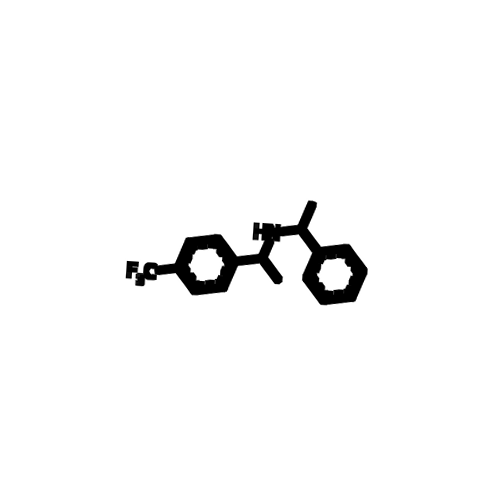 CC(NC(C)c1ccc(C(F)(F)F)cc1)c1ccccc1